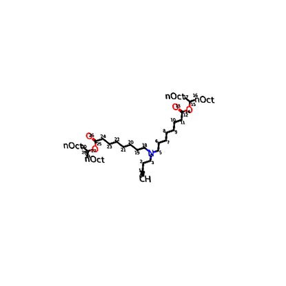 C#CCCN(CCCCCCCC(=O)OC(CCCCCCCC)CCCCCCCC)CCCCCCCC(=O)OC(CCCCCCCC)CCCCCCCC